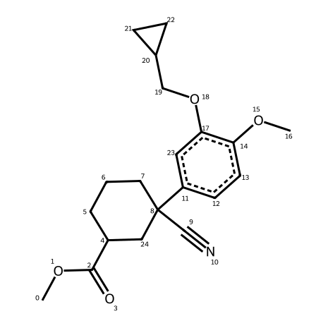 COC(=O)C1CCCC(C#N)(c2ccc(OC)c(OCC3CC3)c2)C1